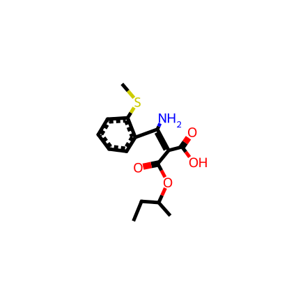 CCC(C)OC(=O)C(C(=O)O)=C(N)c1ccccc1SC